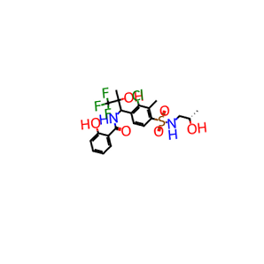 Cc1c(S(=O)(=O)NC[C@H](C)O)ccc(C(NC(=O)c2ccccc2O)C(C)(O)C(F)(F)F)c1Cl